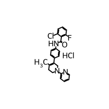 CC1=C(c2ccc(NC(=O)c3c(F)cccc3Cl)cc2)CN(c2ccccn2)CC1.Cl